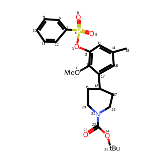 COc1c(OS(=O)(=O)c2ccccc2)cc(C)cc1C1CCN(C(=O)OC(C)(C)C)CC1